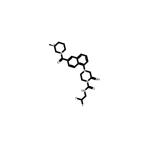 C[C@H]1CCCN(C(=O)c2ccc3c(N4CCN(C(=O)NCC(F)F)C(=N)C4)cccc3c2)C1